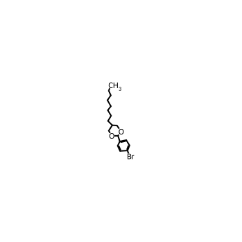 CCCCCCCCC1COC(c2ccc(Br)cc2)OC1